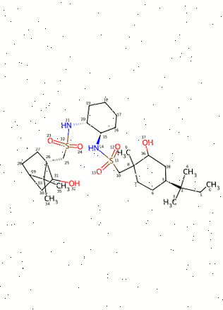 CCC(C)(C)[C@H]1CCC(C)(CS(=O)(=O)N[C@@H]2CCCC[C@H]2NS(=O)(=O)C[C@]23CCC(CC2O)C3(C)C)C(O)C1